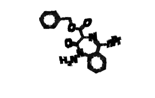 CCCC1=NC(C(=O)OCc2ccccc2)C(=O)N(N)c2ccccc21